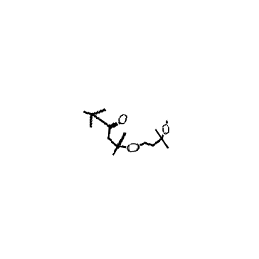 COC(C)(C)CCOC(C)(C)CC(=O)C(C)(C)C